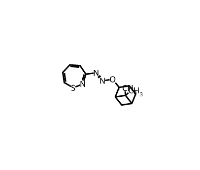 CC1(C)C2CC[C](ON=NC3=NSC=CC=C3)C1C2